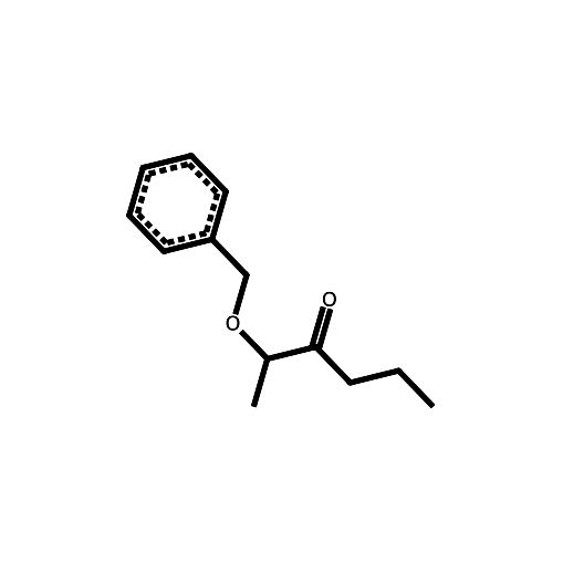 CCCC(=O)C(C)OCc1ccccc1